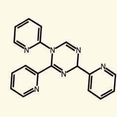 C1=NC(c2ccccn2)N=C(c2ccccn2)N1c1ccccn1